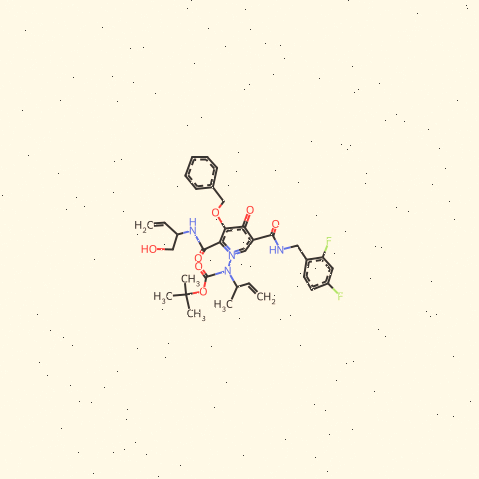 C=CC(CO)NC(=O)c1c(OCc2ccccc2)c(=O)c(C(=O)NCc2ccc(F)cc2F)cn1N(C(=O)OC(C)(C)C)C(C)C=C